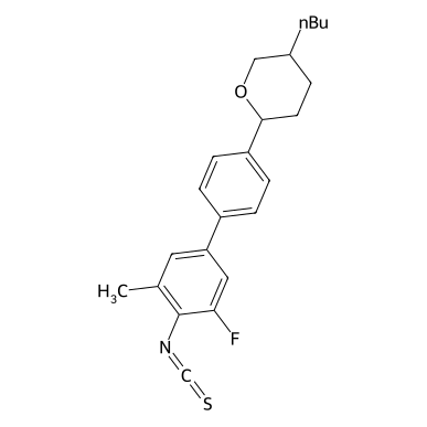 CCCCC1CCC(c2ccc(-c3cc(C)c(N=C=S)c(F)c3)cc2)OC1